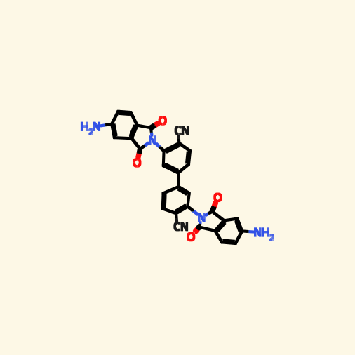 N#Cc1ccc(-c2ccc(C#N)c(N3C(=O)c4ccc(N)cc4C3=O)c2)cc1N1C(=O)c2ccc(N)cc2C1=O